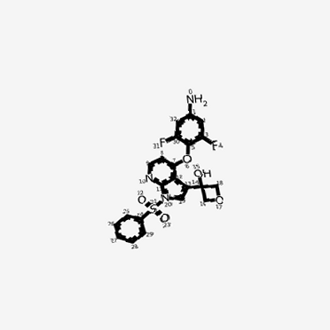 Nc1cc(F)c(Oc2ccnc3c2c(C2(O)COC2)cn3S(=O)(=O)c2ccccc2)c(F)c1